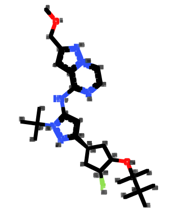 COCc1cc2c(Nc3cc([C@H]4CC(O[Si](C)(C)C(C)(C)C)[C@@H](F)C4)nn3C(C)(C)C)nccn2n1